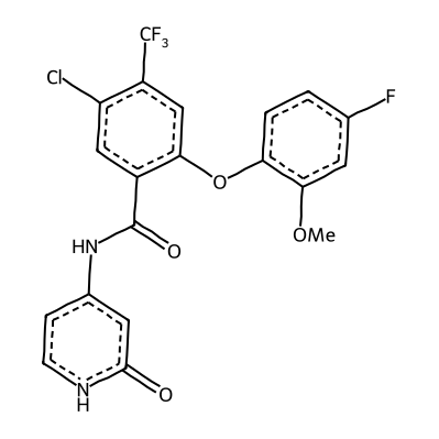 COc1cc(F)ccc1Oc1cc(C(F)(F)F)c(Cl)cc1C(=O)Nc1cc[nH]c(=O)c1